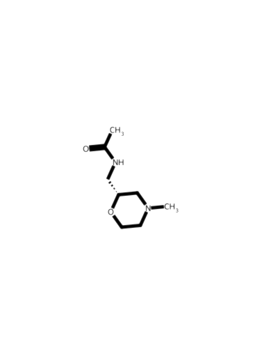 CC(=O)NC[C@@H]1CN(C)CCO1